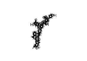 COc1cc(F)c(CN2CCN(C3CC4(CCN(c5ccc(C(=O)NS(=O)(=O)c6cnc(NCC7CCC(C)(O)CC7)c([N+](=O)[O-])c6)c(Oc6cc7c(F)c[nH]c7nc6OC)c5)CC4)C3)[C@H](c3ccccc3C(C)C)C2)cc1F